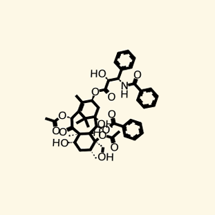 CC(=O)O[C@H]1C(=O)[C@@]2(C)[C@H]([C@H](OC(=O)c3ccccc3)[C@]3(O)C[C@H](OC(=O)[C@H](O)[C@@H](NC(=O)c4ccccc4)c4ccccc4)C(C)=C1C3(C)C)[C@@](CO)(OC(C)=O)[C@H](C)C[C@@H]2O